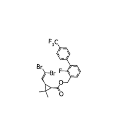 CC1(C)[C@H](C(=O)OCc2cccc(-c3ccc(C(F)(F)F)cc3)c2F)[C@@H]1C=C(Br)Br